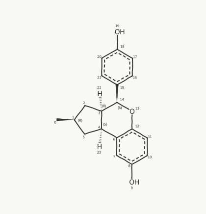 C[C@H]1C[C@@H]2[C@H](C1)c1cc(O)ccc1O[C@@H]2c1ccc(O)cc1